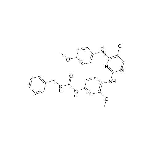 COc1ccc(Nc2nc(Nc3ccc(NC(=O)NCc4cccnc4)cc3OC)ncc2Cl)cc1